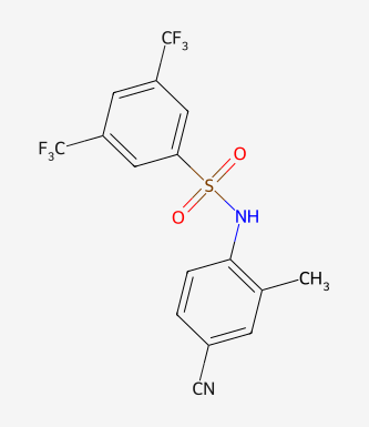 Cc1cc(C#N)ccc1NS(=O)(=O)c1cc(C(F)(F)F)cc(C(F)(F)F)c1